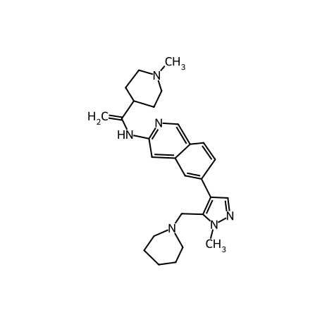 C=C(Nc1cc2cc(-c3cnn(C)c3CN3CCCCC3)ccc2cn1)C1CCN(C)CC1